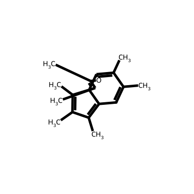 CC1=CC2=C(C)C(C)=C(C)C23C(C)=C(C)OC3=C1C